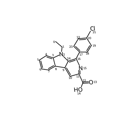 CCn1c2ccccc2c2cc(C(=O)O)nc(-c3ccc(Cl)cc3)c21